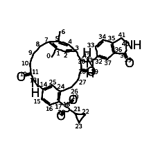 Cc1cc2cc(C)c1CCCC(=O)Nc1ccc(S(=O)(=O)C3CC3)c(c1)CCC(=O)[C@@H]2Nc1ccc2c(c1)C(=O)NC2